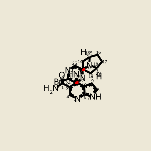 NC(=O)c1cnc2[nH]ccc2c1N[C@@H]1C[C@H]2CC[C@@H](C1)N2c1cnc(Br)cn1